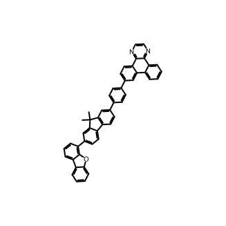 CC1(C)c2cc(-c3ccc(-c4ccc5c(c4)c4ccccc4c4nccnc54)cc3)ccc2-c2ccc(-c3cccc4c3oc3ccccc34)cc21